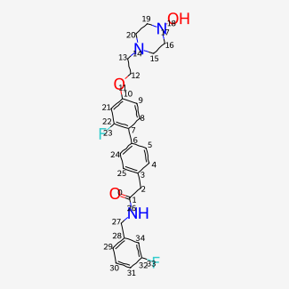 O=C(Cc1ccc(-c2ccc(OCCN3CCN(O)CC3)cc2F)cc1)NCc1cccc(F)c1